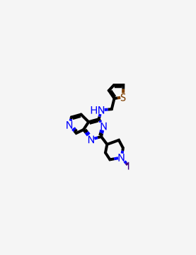 IN1CCC(c2nc(NCc3cccs3)c3ccncc3n2)CC1